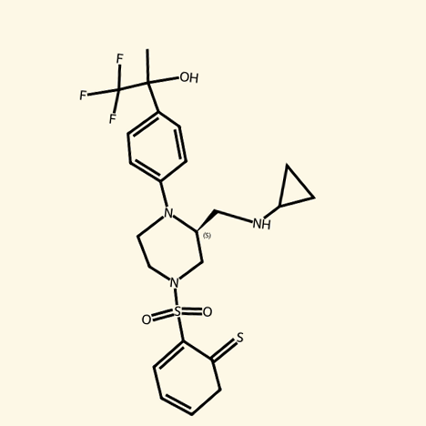 CC(O)(c1ccc(N2CCN(S(=O)(=O)C3=CC=CCC3=S)C[C@@H]2CNC2CC2)cc1)C(F)(F)F